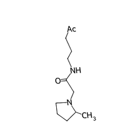 CC(=O)CCCNC(=O)CN1CCCC1C